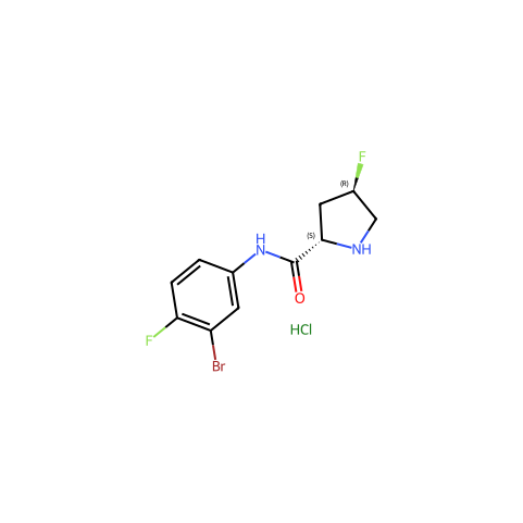 Cl.O=C(Nc1ccc(F)c(Br)c1)[C@@H]1C[C@@H](F)CN1